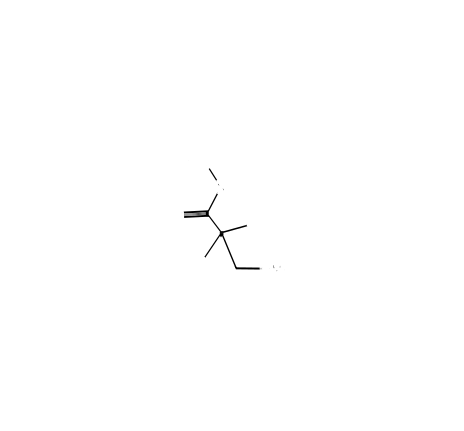 CCCCNC(=O)C(C)(C)COC